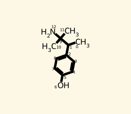 CC(c1ccc(O)cc1)C(C)(C)N